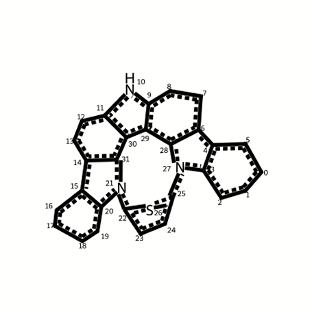 c1ccc2c(c1)c1ccc3[nH]c4ccc5c6ccccc6n6c7ccc(s7)n2c1c3c4c56